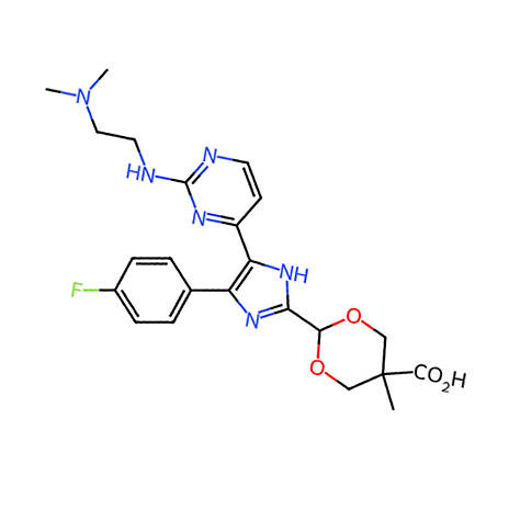 CN(C)CCNc1nccc(-c2[nH]c(C3OCC(C)(C(=O)O)CO3)nc2-c2ccc(F)cc2)n1